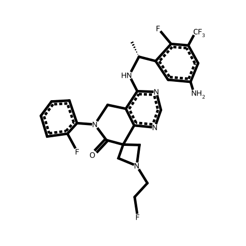 C[C@@H](Nc1ncnc2c1CN(c1ccccc1F)C(=O)C21CN(CCF)C1)c1cc(N)cc(C(F)(F)F)c1F